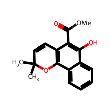 COC(=O)c1c2c(c3ccccc3c1O)OC(C)(C)C=C2